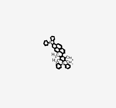 Cc1c(C)c(N(c2ccccc2)c2ccccc2)c(C)c(C)c1-c1ccc2ccc3c4c(ccc1c24)cc1c3c2ccccc2n1-c1ccccc1